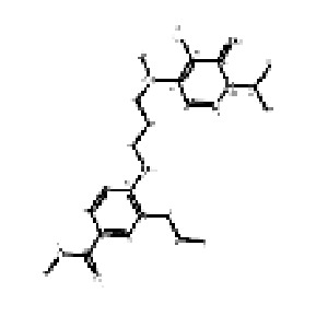 CCCc1cc(C(=O)OC)ccc1OCCCN(C)c1cnn(C(C)C)c(=O)c1Cl